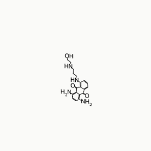 Nc1ccc(N)c2c1C(=O)c1cccc(NCCCNCCO)c1C2=O